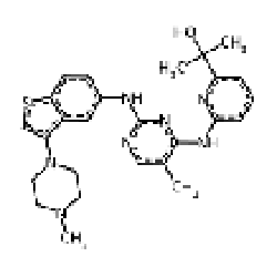 Cc1cnc(Nc2ccc3scc(N4CCN(C)CC4)c3c2)nc1Nc1cccc(C(C)(C)O)n1